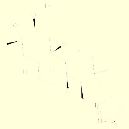 CCO[C@H]1C[C@H]2[C@@H](CC[C@@H]3[C@@H]2CCC(C)(C)[C@H]3Cn2ccnn2)C[C@]1(C)O